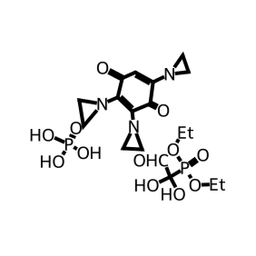 CCOP(=O)(OCC)C(O)(O)C=O.O=C1C=C(N2CC2)C(=O)C(N2CC2)=C1N1CC1.O=P(O)(O)O